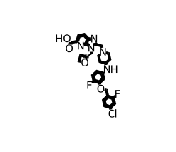 O=C(O)c1ccc2nc(CN3CCC(Nc4ccc(F)c(OCc5ccc(Cl)cc5F)c4)CC3)n(C[C@@H]3CCO3)c2n1